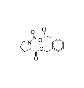 CC(Cl)OC(=O)N1CCC[C@H]1C(=O)OCc1ccccc1